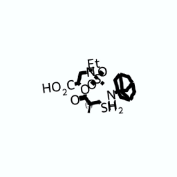 CCN(CC(OC(=O)[C@H](C)CS)C(=O)O)S(C)(=O)=O.NC12CC3CC(CC(C3)C1)C2